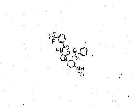 O=CN[C@@H]1CC[C@H](N2CCC(NC(=O)c3cccc(C(F)(F)F)c3)C2=O)[C@@H](CS(=O)(=O)c2ccccc2)C1